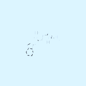 NOC(=O)C(O)C(O)C(=O)OC1C=Cc2ccccc21